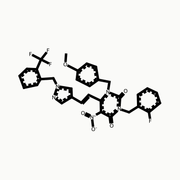 COc1ccc(Cn2c(/C=C/c3cnn(Cc4ccccc4C(F)(F)F)c3)c([N+](=O)[O-])c(=O)n(Cc3ccccc3F)c2=O)cc1